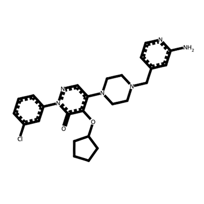 Nc1cc(CN2CCN(c3cnn(-c4cccc(Cl)c4)c(=O)c3OC3CCCC3)CC2)ccn1